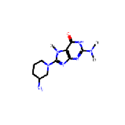 CCN(CC)c1nc2nc(N3CCCC(N)C3)n(CC)c2c(=O)[nH]1